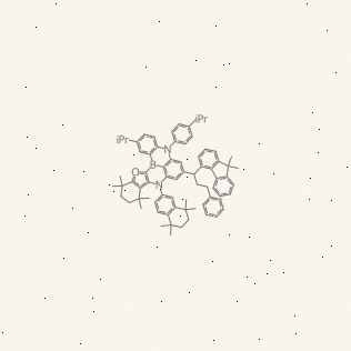 CC(C)c1ccc(N2c3ccc(C(C)C)cc3B3c4oc5c(c4N(c4ccc6c(c4)C(C)(C)CCC6(C)C)c4cc(C(CCc6ccccc6)c6cccc7c6-c6ccccc6C7(C)C)cc2c43)C(C)(C)CCC5(C)C)cc1